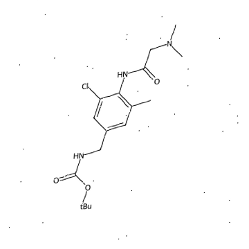 Cc1cc(CNC(=O)OC(C)(C)C)cc(Cl)c1NC(=O)CN(C)C